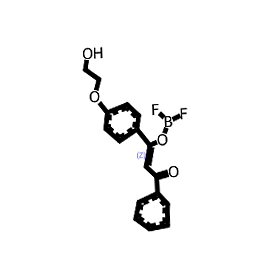 O=C(/C=C(\OB(F)F)c1ccc(OCCO)cc1)c1ccccc1